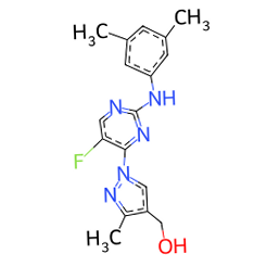 Cc1cc(C)cc(Nc2ncc(F)c(-n3cc(CO)c(C)n3)n2)c1